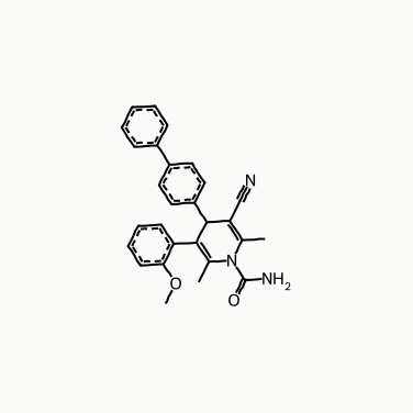 COc1ccccc1C1=C(C)N(C(N)=O)C(C)=C(C#N)C1c1ccc(-c2ccccc2)cc1